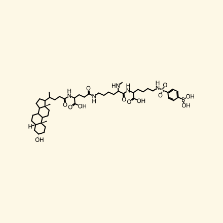 CNC(CCCCNC(=O)CCC(NC(=O)CCC(C)C1CCC2C3CC[C@H]4C[C@@H](O)CC[C@@]4(C)C3CC[C@@]12C)C(=O)O)C(=O)NC(CCCCNS(=O)(=O)c1ccc(B(O)O)cc1)C(=O)O